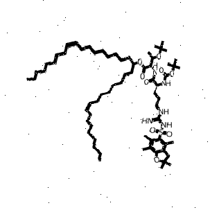 CCCCCCCC/C=C\CCCCCCCCC(CCCCCCC/C=C\CCCCCCCC)OC(=O)[C@@H](NC(=O)[C@H](CCCNC(=N)NS(=O)(=O)c1c(C)c(C)c2c(c1C)CC(C)(C)O2)NC(=O)OC(C)(C)C)C(C)OC(C)(C)C